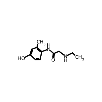 CCNCC(=O)Nc1ccc(O)cc1C